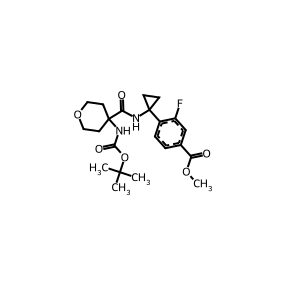 COC(=O)c1ccc(C2(NC(=O)C3(NC(=O)OC(C)(C)C)CCOCC3)CC2)c(F)c1